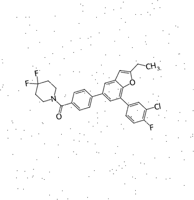 CCc1cc2cc(-c3ccc(C(=O)N4CCC(F)(F)CC4)cc3)cc(-c3ccc(F)c(Cl)c3)c2o1